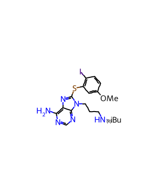 CC[C@@H](C)NCCCn1c(Sc2cc(OC)ccc2I)nc2c(N)ncnc21